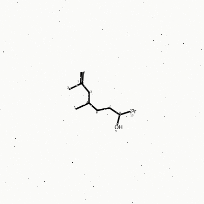 C=C(C)CC(C)CCC(O)C(C)C